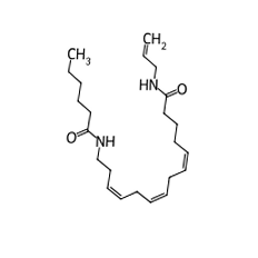 C=CCNC(=O)CCC/C=C\C/C=C\C/C=C\CCNC(=O)CCCCC